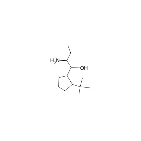 CCC(N)C(O)C1CCCC1C(C)(C)C